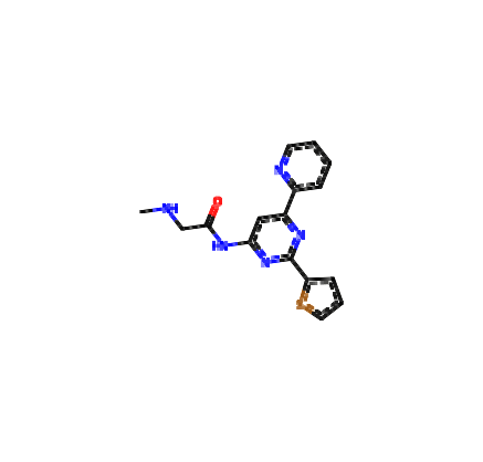 CNCC(=O)Nc1cc(-c2ccccn2)nc(-c2cccs2)n1